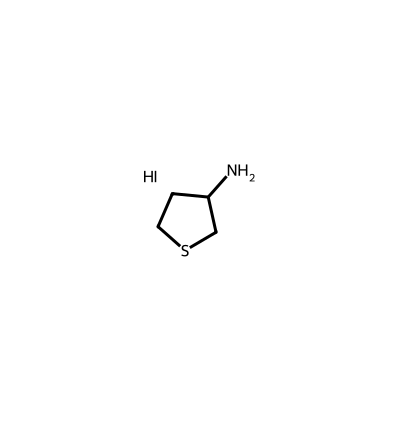 I.NC1CCSC1